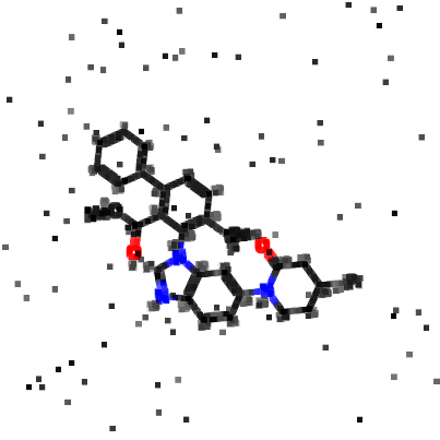 COC(=O)c1c(-c2ccccc2)ccc(C(C)(C)C)c1-n1cnc2ccc(N3CCC(C(C)C)CC3=O)cc21